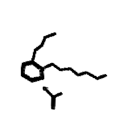 CC(=O)[O-].CCCCCCC[n+]1ccccc1CCCC